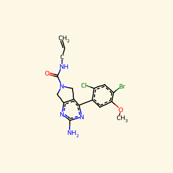 C=CCNC(=O)N1Cc2nc(N)nc(-c3cc(OC)c(Br)cc3Cl)c2C1